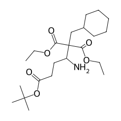 CCOC(=O)C(CC1CCCCC1)(C(=O)OCC)C(N)CCC(=O)OC(C)(C)C